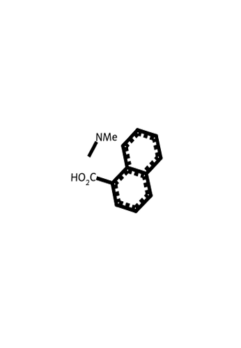 CNC.O=C(O)c1cccc2ccccc12